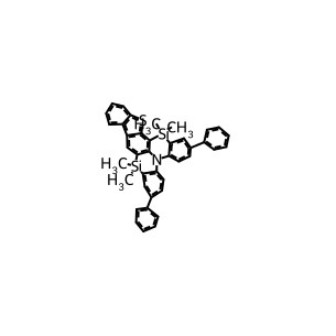 C[Si]1(C)c2cc(-c3ccccc3)ccc2N2c3ccc(-c4ccccc4)cc3[Si](C)(C)c3c2c1cc1c3sc2ccccc21